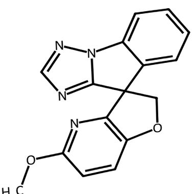 COc1ccc2c(n1)C1(CO2)c2ccccc2-n2ncnc21